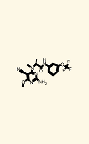 COc1nc(N)nc(N(C)[C@@H](C)C(=O)Nc2cccc(OC(F)(F)F)c2)c1C#N